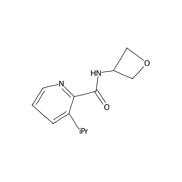 CC(C)c1cccnc1C(=O)NC1COC1